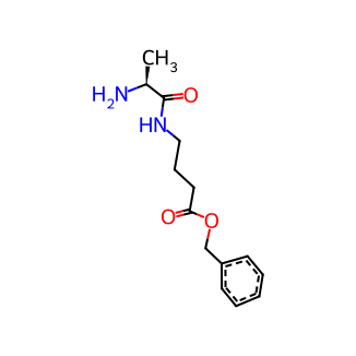 C[C@H](N)C(=O)NCCCC(=O)OCc1ccccc1